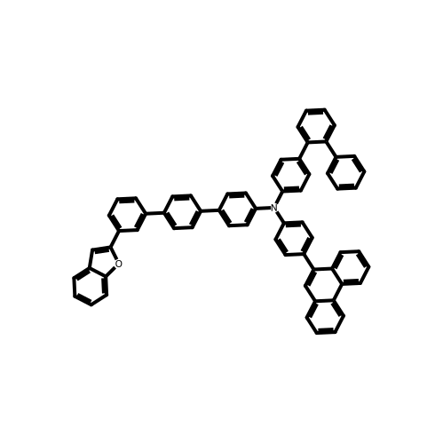 c1ccc(-c2ccccc2-c2ccc(N(c3ccc(-c4ccc(-c5cccc(-c6cc7ccccc7o6)c5)cc4)cc3)c3ccc(-c4cc5ccccc5c5ccccc45)cc3)cc2)cc1